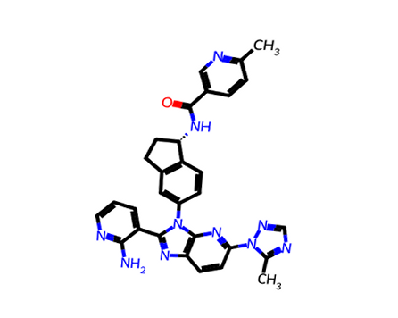 Cc1ccc(C(=O)N[C@H]2CCc3cc(-n4c(-c5cccnc5N)nc5ccc(-n6ncnc6C)nc54)ccc32)cn1